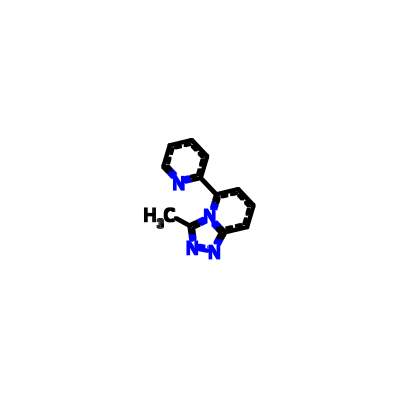 Cc1nnc2cccc(-c3ccccn3)n12